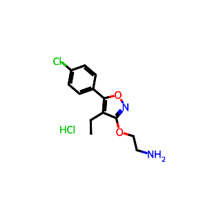 CCc1c(OCCN)noc1-c1ccc(Cl)cc1.Cl